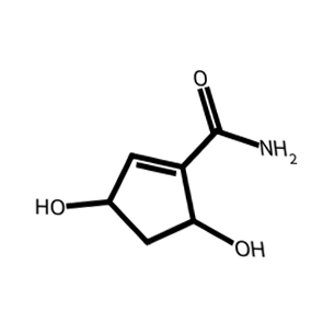 NC(=O)C1=CC(O)CC1O